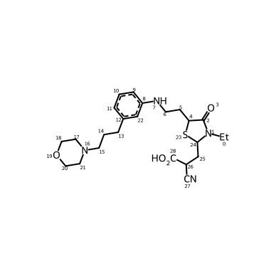 CCN1C(=O)C(CCNc2cccc(CCCN3CCOCC3)c2)SC1CC(C#N)C(=O)O